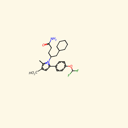 Cc1c(C(=O)O)cc(-c2ccc(OC(F)F)cc2)n1C(CCC(N)=O)CC1CCCCC1